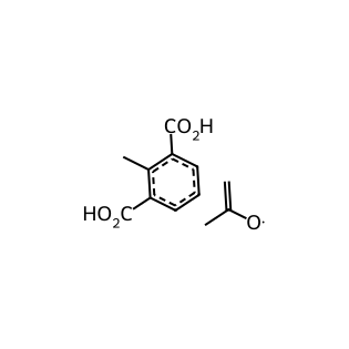 C=C(C)[O].Cc1c(C(=O)O)cccc1C(=O)O